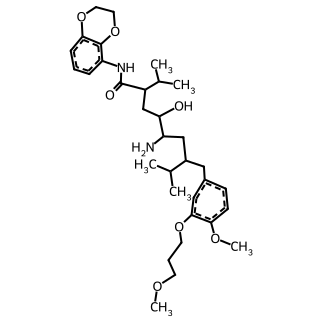 COCCCOc1cc(CC(CC(N)C(O)CC(C(=O)Nc2cccc3c2OCCO3)C(C)C)C(C)C)ccc1OC